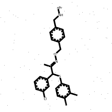 [CH2]C[CH]NCc1ccc(CO/N=C(\C)C(Sc2ccc(C)c(C)c2)c2cccc(Cl)c2)cc1